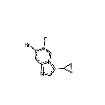 Clc1cn2c(C3CC3)cnc2cc1Br